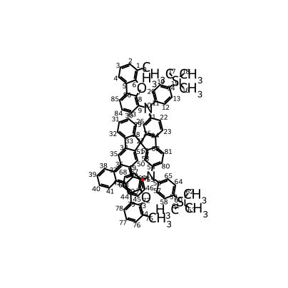 Cc1cccc2c1oc1c(N(c3ccc([Si](C)(C)C)cc3)c3ccc4c(c3)C3(c5ccccc5-c5cc6c7ccccc7c7ccccc7c6cc53)c3cc(N(c5ccc([Si](C)(C)C)cc5)c5cccc6c5oc5c(C)cccc56)ccc3-4)cccc12